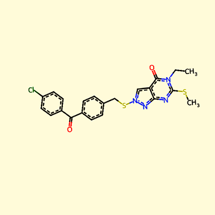 CCn1c(SC)nc2nn(SCc3ccc(C(=O)c4ccc(Cl)cc4)cc3)cc2c1=O